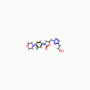 O=C1OC(Cn2nnc(CCO)n2)CN1c1ccc(N2CCOCC2)c(F)c1